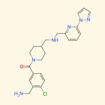 NCc1cc(C(=O)N2CCC(CNCc3cccc(-n4cccn4)n3)CC2)ccc1Cl